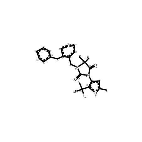 Cc1cc(N2C(=O)N(Cc3ccccc3Cc3ccccc3)C(C)(C)C2=O)c(C(F)(F)F)o1